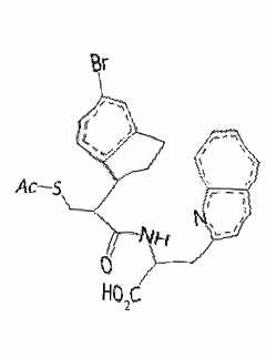 CC(=O)SCC(C(=O)NC(Cc1ccc2ccccc2n1)C(=O)O)C1CCc2cc(Br)ccc21